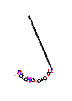 C=C=C=C=C=C=C=C=C=C=C=C=C=C=C=C=C=C=C=C=C=C=C=C=C=C=C=C=C=C=C=C=C=C=C=C(C)N1C(=O)c2ccc(Oc3ccc(C(C)(C)c4ccc(Oc5ccc6c(c5)C(=O)N(c5c(CC)cc(Cc7cc(CC)c(N8C(=O)C=CC8=O)c(CC)c7)cc5CC)C6=O)cc4)cc3)cc2C1=O